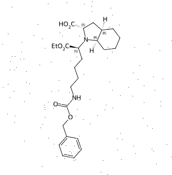 CCOC(=O)[C@H](CCCCNC(=O)OCc1ccccc1)N1[C@@H]2CCCC[C@@H]2C[C@H]1C(=O)O